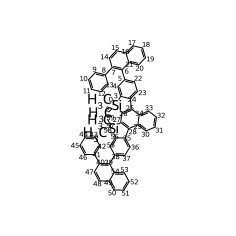 C[Si]1(C)c2cc(-c3c(-c4ccccc4)ccc4ccccc34)ccc2-c2c1c1c(c3ccccc23)-c2ccc(-c3c(-c4ccccc4)ccc4ccccc34)cc2[Si]1(C)C